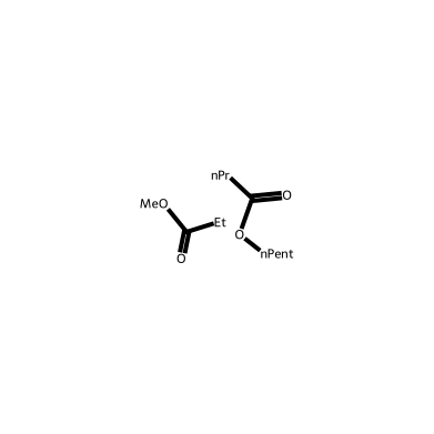 CCC(=O)OC.CCCCCOC(=O)CCC